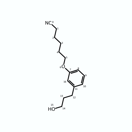 N#CCCCCCOc1cccc(CCCO)c1